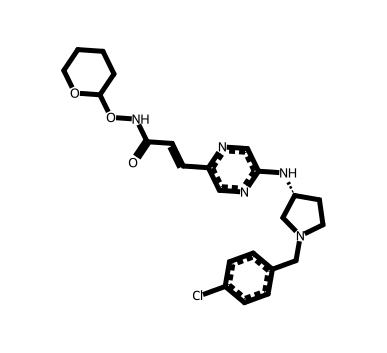 O=C(/C=C/c1cnc(N[C@@H]2CCN(Cc3ccc(Cl)cc3)C2)cn1)NOC1CCCCO1